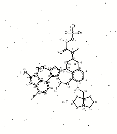 CCS(=O)(=O)O[C@@H](C)C(=O)N(C)[C@H]1Nc2ccc(OC[C@@]34CCCN3C[C@H](F)C4)c3c2[C@H](N1)n1cc(Cl)c(-c2ccc(F)c4sc(N)c(C#N)c24)c1C(F)O3